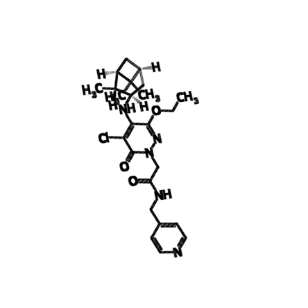 CCOc1nn(CC(=O)NCc2ccncc2)c(=O)c(Cl)c1N[C@@H]1C[C@@H]2C[C@H]([C@H]1C)C2(C)C